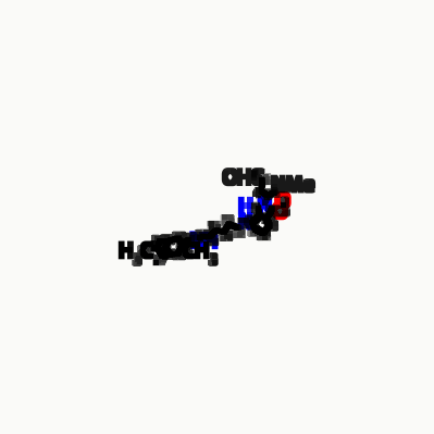 CNC(=O)C(CCC=O)N1Cc2c(NCCCCCCNCC3(C)CC4CC(C)CC(C4)C3)cccc2C1=O